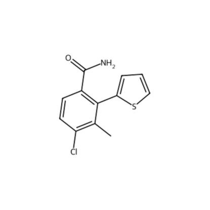 Cc1c(Cl)ccc(C(N)=O)c1-c1cccs1